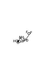 CC(N)(CCc1ccc(C(=O)CCCCc2cc(F)cc(F)c2)s1)CCP(=O)(O)O